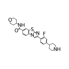 O=C(NC1CCOCC1)c1ccc2c(c1)sc1nc(-c3ccc(C4CCNCC4)cc3F)cn12